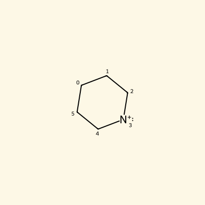 C1CC[N+]CC1